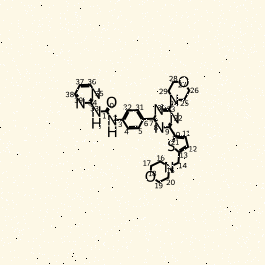 O=C(Nc1ccc(-c2nc(-c3ccc(CN4CCOCC4)s3)nc(N3CCOCC3)n2)cc1)Nc1ncccn1